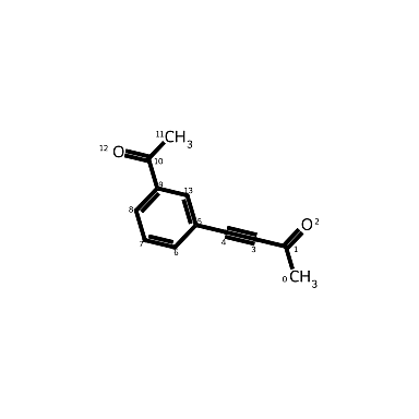 CC(=O)C#Cc1cccc(C(C)=O)c1